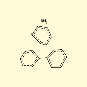 N.c1ccc(-c2ccccc2)cc1.c1ccncc1